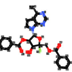 N#Cc1ncnc2c1ccn2[C@@H]1O[C@](F)(COC(=O)c2ccccc2)[C@@H](O)[C@H]1OC(=O)c1ccccc1